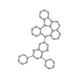 c1ccc(-c2cc(-c3ccccc3)c3ncc(-n4c5cccc6ccc7c8ccccc8n(c8ccccc84)c7c65)cc3n2)cc1